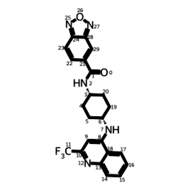 O=C(N[C@H]1CC[C@@H](Nc2cc(C(F)(F)F)nc3ccccc23)CC1)c1ccc2nonc2c1